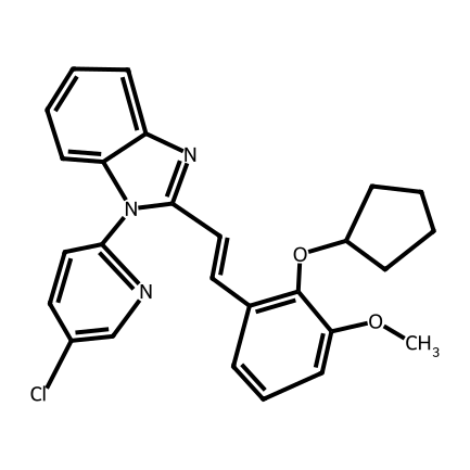 COc1cccc(C=Cc2nc3ccccc3n2-c2ccc(Cl)cn2)c1OC1CCCC1